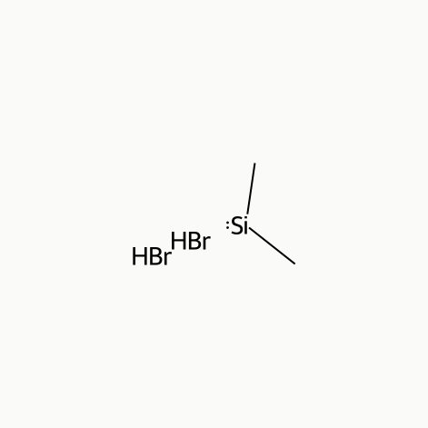 Br.Br.C[Si]C